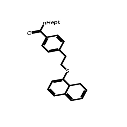 CCCCCCCC(=O)c1ccc(CCSC2=CC=CC3=CC=CCC32)cc1